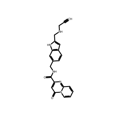 C#CCNCc1cc2ccc(CNC(=O)c3cc(=O)n4ccccc4n3)cc2[nH]1